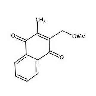 COCC1=C(C)C(=O)c2ccccc2C1=O